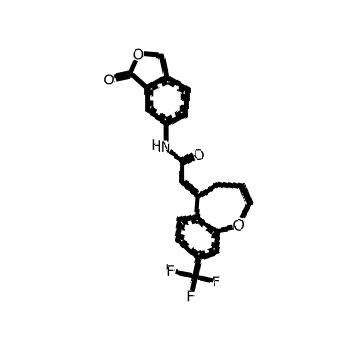 O=C(C=C1CCCOc2cc(C(F)(F)F)ccc21)Nc1ccc2c(c1)C(=O)OC2